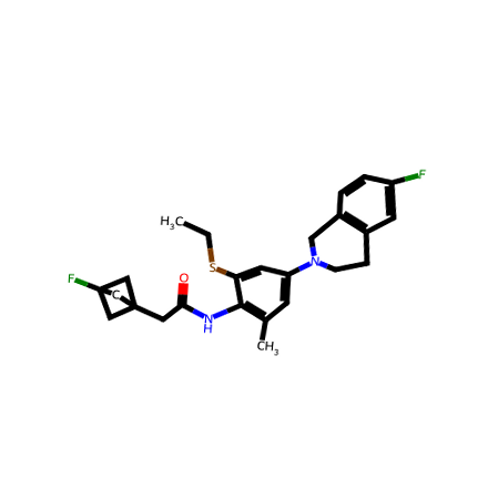 CCSc1cc(N2CCc3cc(F)ccc3C2)cc(C)c1NC(=O)CC12CC(F)(C1)C2